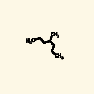 CCC[C](C)CCC